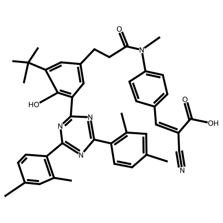 Cc1ccc(-c2nc(-c3ccc(C)cc3C)nc(-c3cc(CCC(=O)N(C)c4ccc(C=C(C#N)C(=O)O)cc4)cc(C(C)(C)C)c3O)n2)c(C)c1